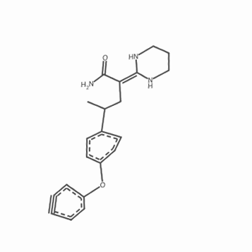 CC(CC(C(N)=O)=C1NCCCN1)c1ccc(Oc2cc#ccc2)cc1